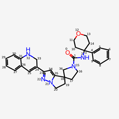 O=C(NC1(c2ccccc2)CCOCC1)N1CCC2(CCn3nc(C4=Cc5ccccc5NC4)cc32)C1